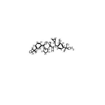 CC(F)(F)c1ccc([C@H](NC(=O)[C@H]2CCCN2C(=O)c2cccc(C3(F)COC3)c2)C2CC2)c(F)c1